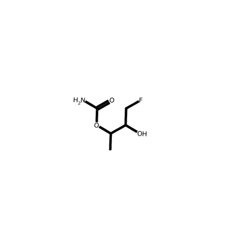 CC(OC(N)=O)C(O)CF